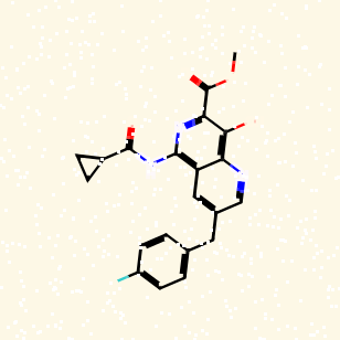 COC(=O)c1nc(NC(=O)C2CC2)c2cc(Cc3ccc(F)cc3)cnc2c1O